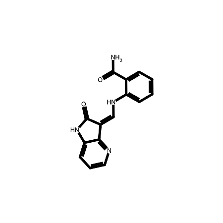 NC(=O)c1ccccc1N/C=C1\C(=O)Nc2cccnc21